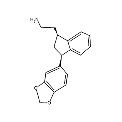 NCC[C@@H]1C[C@H](c2ccc3c(c2)OCO3)c2ccccc21